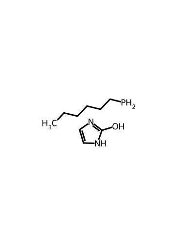 CCCCCCP.Oc1ncc[nH]1